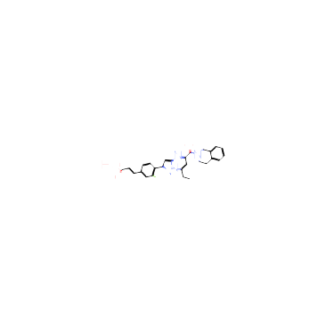 CCc1cc(C(=O)N2CCc3ccccc3[C@H]2C)nc2cc(-c3ccc(/C=C/C(=O)O)cc3F)nn12